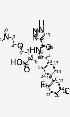 CN(C)CCOCC[C@H](C[C@@H](Cc1ccc(-c2cc(Cl)ccc2F)cc1)NC(=O)c1c[nH]nn1)C(=O)O